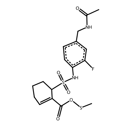 CSOC(=O)C1=CCCCC1S(=O)(=O)Nc1ccc(CNC(C)=O)cc1F